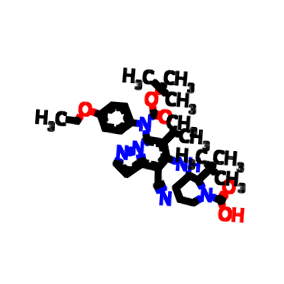 CCOc1ccc(N(C(=O)OC(C)(C)C)c2c(C(C)C)c(N[C@H]3CCCN(C(=O)O)C3C(C)(C)C)c(C#N)c3ccnn23)cc1